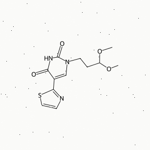 COC(CCn1cc(-c2nccs2)c(=O)[nH]c1=O)OC